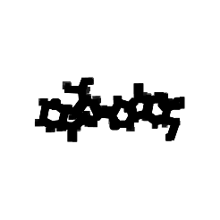 CCc1cc2c3c([nH]c2nc1Cl)CC(c1cc(C(C)C)c2c(n1)NC1CCCOC21)OC3